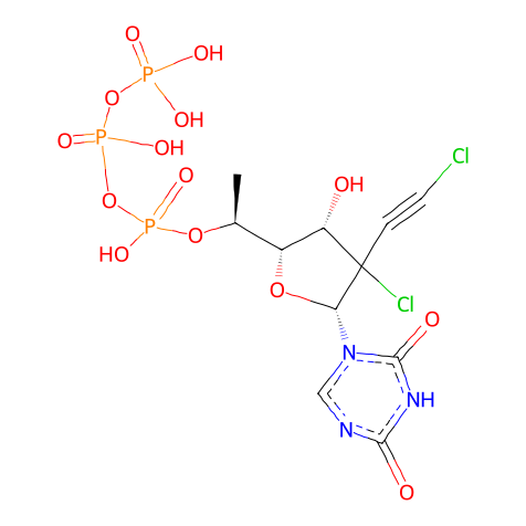 C[C@H](OP(=O)(O)OP(=O)(O)OP(=O)(O)O)[C@H]1O[C@@H](n2cnc(=O)[nH]c2=O)C(Cl)(C#CCl)[C@H]1O